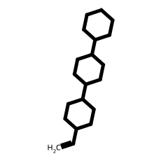 C=CC1CCC(C2CCC(C3CC[CH]CC3)CC2)CC1